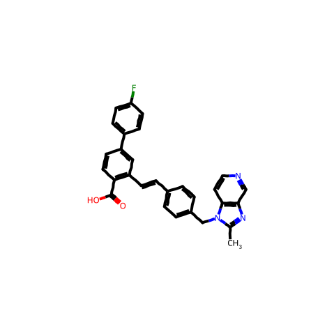 Cc1nc2cnccc2n1Cc1ccc(/C=C/c2cc(-c3ccc(F)cc3)ccc2C(=O)O)cc1